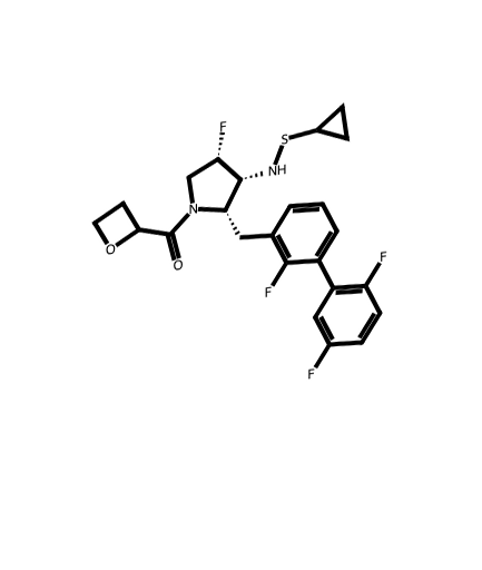 O=C(C1CCO1)N1C[C@H](F)[C@H](NSC2CC2)[C@@H]1Cc1cccc(-c2cc(F)ccc2F)c1F